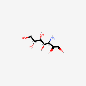 N[C@@H](C(=O)[C]=O)[C@@H](O)[C@H](O)[C@H](O)CO